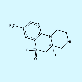 O=S1(=O)C[C@@H]2CNCCN2c2ncc(C(F)(F)F)cc21